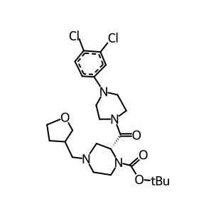 CC(C)(C)OC(=O)N1CCN(CC2CCOC2)C[C@@H]1C(=O)N1CCN(c2ccc(Cl)c(Cl)c2)CC1